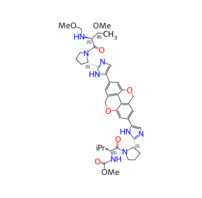 COCN[C@H](C(=O)N1CCC[C@H]1c1ncc(-c2cc3c4c(c2)OCc2cc(-c5cnc([C@@H]6CCCN6C(=O)[C@@H](NC(=O)OC)C(C)C)[nH]5)cc(c2-4)OC3)[nH]1)[C@@H](C)OC